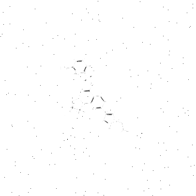 CC(C)Cn1cc(-c2ccc(C(=O)NS(=O)(=O)c3cccc(N)n3)c(N3CCC(C)C3(C)C)n2)cn1